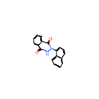 O=c1[nH]n(-c2cccc3ccccc23)c(=O)c2ccccc12